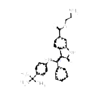 CC(C)(N)c1ccc(N/C(=C2/C(=O)Nc3cc(C(=O)OCCN)ccc32)c2ccccc2)cc1